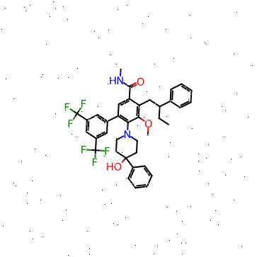 CCC(Cc1c(C(=O)NC)cc(-c2cc(C(F)(F)F)cc(C(F)(F)F)c2)c(N2CCC(O)(c3ccccc3)CC2)c1OC)c1ccccc1